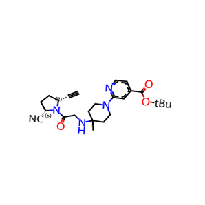 C#C[C@H]1CC[C@@H](C#N)N1C(=O)CNC1(C)CCN(c2cc(C(=O)OC(C)(C)C)ccn2)CC1